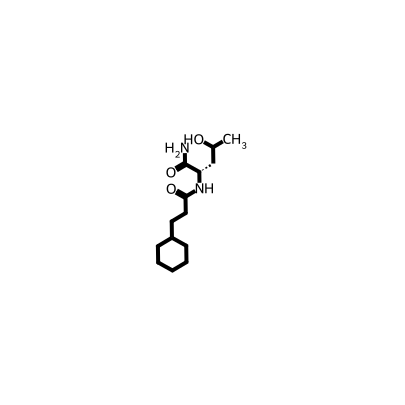 CC(O)C[C@H](NC(=O)CCC1CCCCC1)C(N)=O